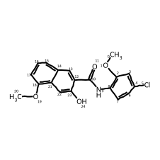 COc1cc(Cl)ccc1NC(=O)c1cc2cccc(OC)c2cc1O